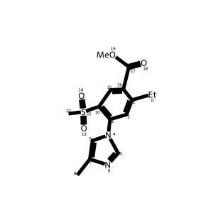 CCc1cc(-n2cnc(C)c2)c(S(C)(=O)=O)cc1C(=O)OC